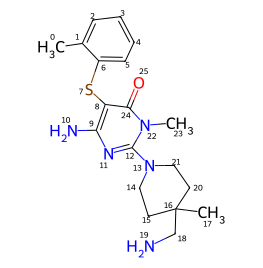 Cc1ccccc1Sc1c(N)nc(N2CCC(C)(CN)CC2)n(C)c1=O